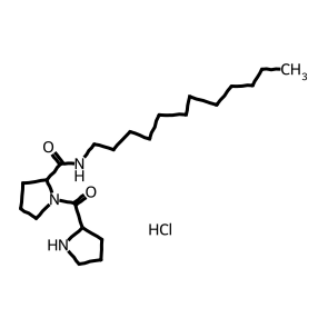 CCCCCCCCCCCCNC(=O)C1CCCN1C(=O)C1CCCN1.Cl